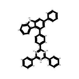 c1ccc(-c2cc(-c3ccc(-c4nc(-c5ccccc5)nc(-c5ccccc5)n4)cc3)c3c(c2)sc2ccccc23)cc1